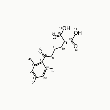 Cc1cc(C)c(C(=O)CCCC(C(=O)O)C(=O)O)c(C)c1